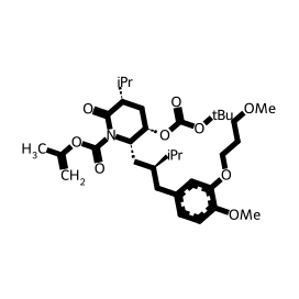 C=C(C)OC(=O)N1C(=O)[C@H](C(C)C)C[C@H](OC(=O)OC(C)(C)C)[C@@H]1C[C@H](Cc1ccc(OC)c(OCCCOC)c1)C(C)C